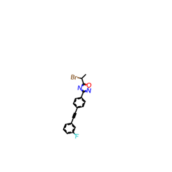 CC(Br)c1nc(-c2ccc(C#Cc3cccc(F)c3)cc2)no1